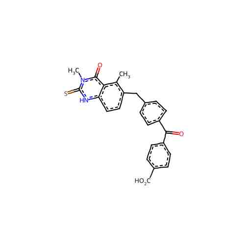 Cc1c(Cc2ccc(C(=O)c3ccc(C(=O)O)cc3)cc2)ccc2[nH]c(=S)n(C)c(=O)c12